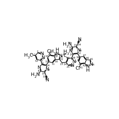 Cc1cnnc(-c2nc(N)c(C#N)nc2-c2cc(C)c3[nH]nc(Cc4cnnc(-c5nc(N)c(C#N)nc5-c5cc(Cl)c6[nH]ncc6c5)c4C)c3c2)c1